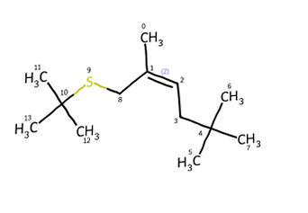 C/C(=C/CC(C)(C)C)CSC(C)(C)C